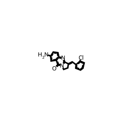 Nc1ccc2nc3n(c(=O)c2c1)CCC3=Cc1ccccc1Cl